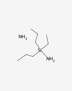 CCC[Si](N)(CC)CCC.N